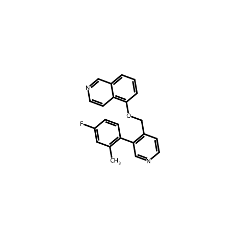 Cc1cc(F)ccc1-c1cnccc1COc1cccc2cnccc12